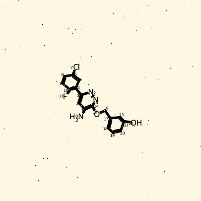 Nc1cc(-c2cc(Cl)ccc2F)nnc1OCc1cccc(O)c1